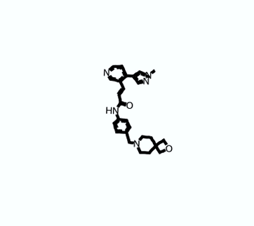 Cn1cc(-c2ccncc2/C=C/C(=O)Nc2ccc(CN3CCC4(CC3)COC4)cc2)cn1